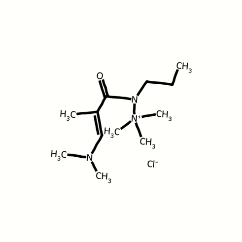 CCCN(C(=O)C(C)=CN(C)C)[N+](C)(C)C.[Cl-]